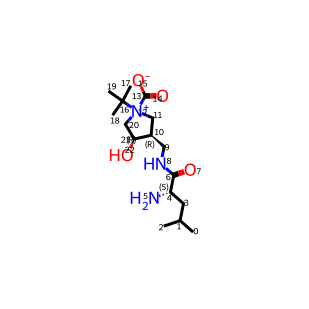 CC(C)C[C@H](N)C(=O)NC[C@@H]1C[N+](C(=O)[O-])(C(C)(C)C)C[C@@H]1O